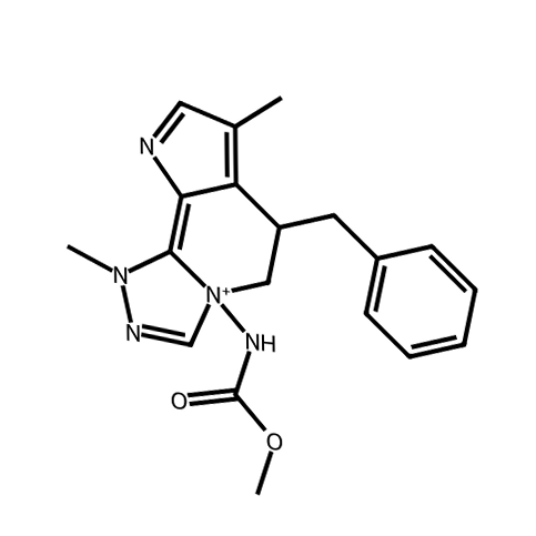 COC(=O)N[N+]12C=NN(C)C1=C1N=CC(C)=C1C(Cc1ccccc1)C2